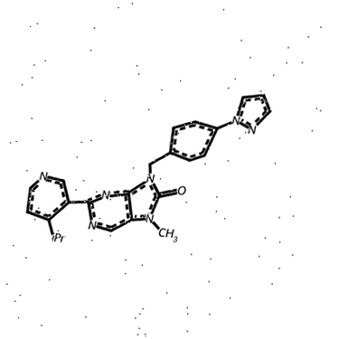 CC(C)c1ccncc1-c1ncc2c(n1)n(Cc1ccc(-n3cccn3)cc1)c(=O)n2C